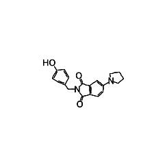 O=C1c2ccc(N3CCCC3)cc2C(=O)N1Cc1ccc(O)cc1